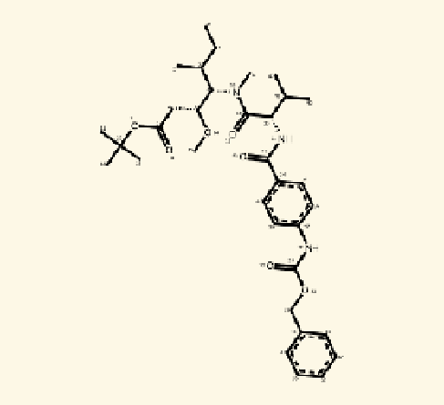 CC[C@H](C)[C@@H]([C@@H](CC(=O)OC(C)(C)C)OC)N(C)C(=O)[C@@H](NC(=O)c1ccc(NC(=O)OCc2ccccc2)cc1)C(C)C